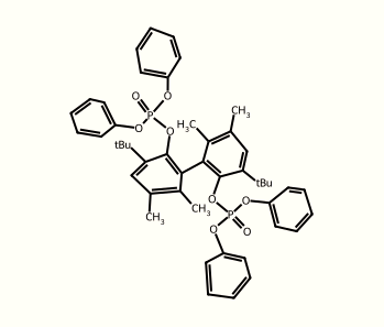 Cc1cc(C(C)(C)C)c(OP(=O)(Oc2ccccc2)Oc2ccccc2)c(-c2c(C)c(C)cc(C(C)(C)C)c2OP(=O)(Oc2ccccc2)Oc2ccccc2)c1C